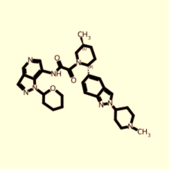 C[C@H]1CC[C@H](c2ccc3nn(C4CCN(C)CC4)cc3c2)N(C(=O)C(=O)Nc2cncc3cnn(C4CCCCO4)c23)C1